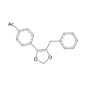 CC(=O)c1ccc(C2=C(Cc3ccccc3)OCO2)cc1